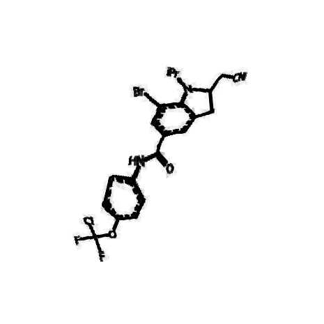 CC(C)N1c2c(Br)cc(C(=O)Nc3ccc(OC(F)(F)Cl)cc3)cc2CC1CC#N